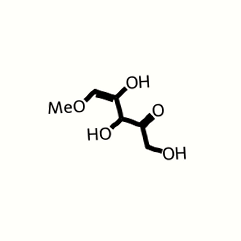 CO/C=C(/O)C(O)C(=O)CO